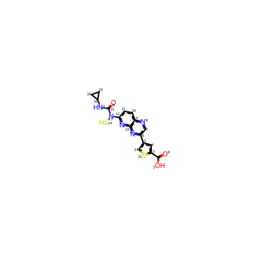 O=C(O)c1cc(-c2cnc3ccc(N(S)C(=O)NC4CC4)nc3n2)cs1